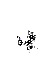 Cc1c(F)c(N)c(F)c(-c2nc3c4c(nc(OC[C@@]56CCCN5C/C(=C\F)C6)nc4c2F)N2CCNC[C@H]2[C@H](C)O3)c1C(F)(F)F